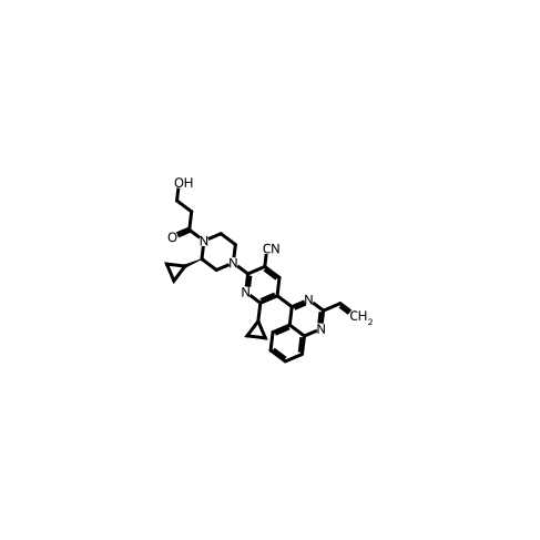 C=Cc1nc(-c2cc(C#N)c(N3CCN(C(=O)CCO)[C@H](C4CC4)C3)nc2C2CC2)c2ccccc2n1